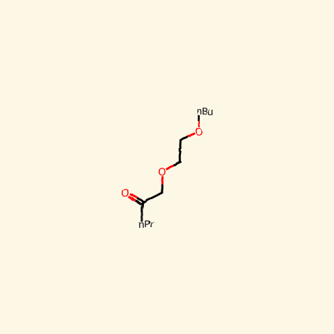 CCCCOCCOCC(=O)CCC